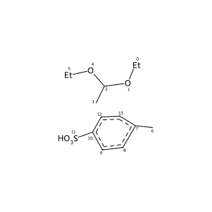 CCOC(C)OCC.Cc1ccc(S(=O)(=O)O)cc1